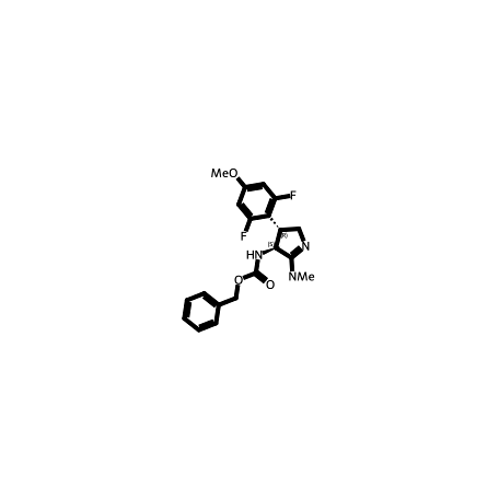 CNC1=NC[C@@H](c2c(F)cc(OC)cc2F)[C@@H]1NC(=O)OCc1ccccc1